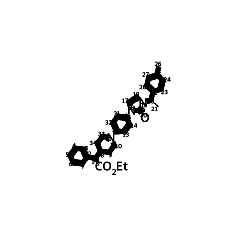 CCOC(=O)C(c1ccccc1)C1CCN(c2ccc(-n3ccn([C@@H](C)c4ccc(C)cc4)c3=O)cc2)CC1